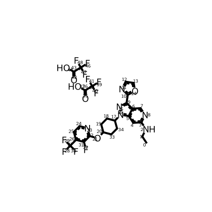 CCNc1cc2c(cn1)c(-c1ncco1)nn2C1CCC(Oc2nccc(C(F)(F)F)c2F)CC1.O=C(O)C(F)(F)F.O=C(O)C(F)(F)F